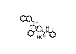 Cc1ccccc1N/C(=N/C#N)N1CCN(C(=O)Nc2ccc3ccccc3c2)C(c2ccccc2)C1